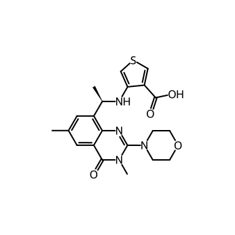 Cc1cc([C@@H](C)Nc2cscc2C(=O)O)c2nc(N3CCOCC3)n(C)c(=O)c2c1